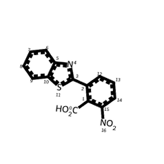 O=C(O)c1c(-c2nc3ccccc3s2)cccc1[N+](=O)[O-]